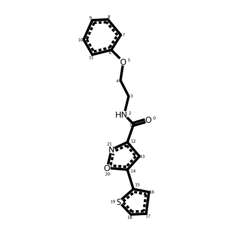 O=C(NCCOc1ccccc1)c1cc(-c2cccs2)on1